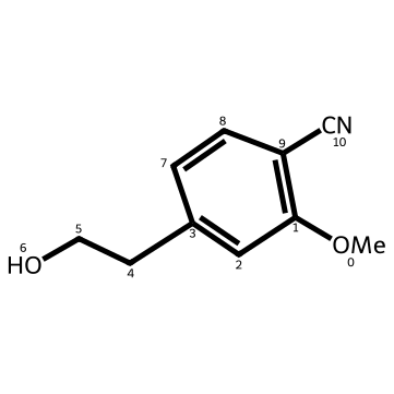 COc1cc(CCO)ccc1C#N